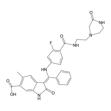 Cc1cc2c(cc1C(=O)O)NC(=O)C2=C(Nc1ccc(C(=O)NCCN2CCNC(=O)C2)c(F)c1)c1ccccc1